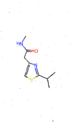 CNC(=O)Cc1csc(C(C)C)n1